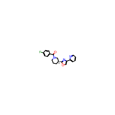 O=C(c1ccc(F)cc1)N1CCC[C@H](c2nc(-c3ccccn3)co2)C1